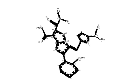 CCCCN(CC)c1ccc(/C=c2/c(-c3ccccc3OC)nc3c(C(=O)OC)c(C(=O)N(CC)CC)nn23)s1